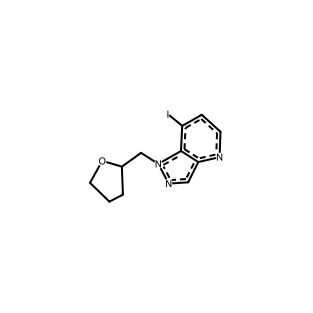 Ic1ccnc2cnn(CC3CCCO3)c12